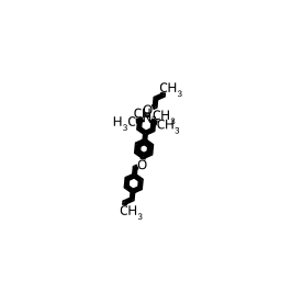 CCCCON1C(C)(C)CC(c2ccc(OCC3CCC(CCC)CC3)cc2)CC1(C)C